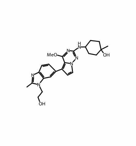 COc1nc(NC2CCC(C)(O)CC2)nn2ccc(-c3ccc4nc(C)n(CCO)c4c3)c12